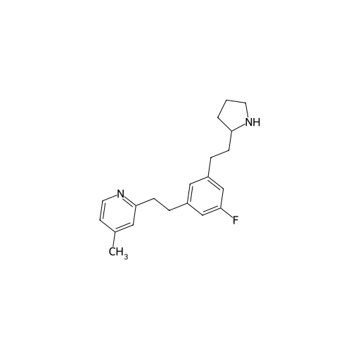 Cc1ccnc(CCc2cc(F)cc(CCC3CCCN3)c2)c1